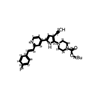 C#Cc1cc(-c2ccnc(/C=C/c3ccc(F)cc3)c2)[nH]c1N1CCN(C(=O)OC(C)(C)C)CC1